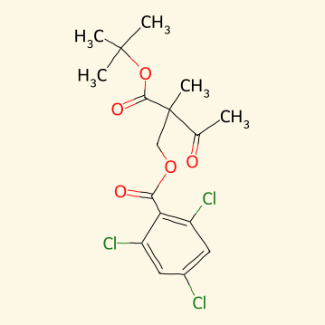 CC(=O)C(C)(COC(=O)c1c(Cl)cc(Cl)cc1Cl)C(=O)OC(C)(C)C